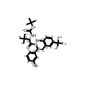 CC(C)(C)OC(=O)N[C@H](C(=O)O[C@@H](Cc1cc(C(F)(F)F)ccc1Br)c1cccc(Br)c1)C(C)(C)C